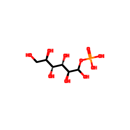 O=P(O)(O)OC(O)[C@@H](O)[C@@H](O)[C@H](O)[C@H](O)CO